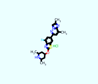 Cc1cn2nc(-c3cc(F)c4nc(OC5CC(C)NC(C)C5)sc4c3)cc(C)c2n1.Cl